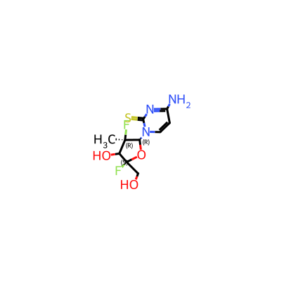 C[C@@]1(F)C(O)[C@@](F)(CO)O[C@H]1n1ccc(N)nc1=S